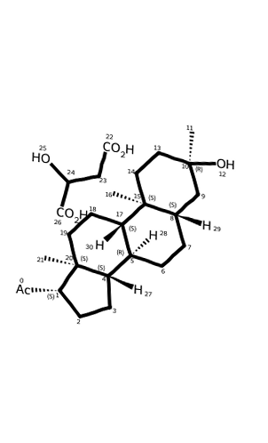 CC(=O)[C@H]1CC[C@H]2[C@@H]3CC[C@H]4C[C@](C)(O)CC[C@]4(C)[C@H]3CC[C@]12C.O=C(O)CC(O)C(=O)O